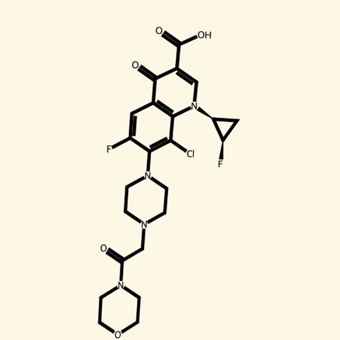 O=C(O)c1cn([C@H]2C[C@H]2F)c2c(Cl)c(N3CCN(CC(=O)N4CCOCC4)CC3)c(F)cc2c1=O